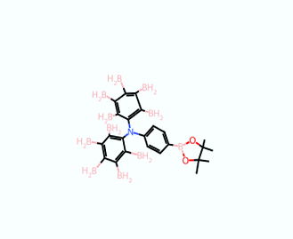 Bc1c(B)c(B)c(N(c2ccc(B3OC(C)(C)C(C)(C)O3)cc2)c2c(B)c(B)c(B)c(B)c2B)c(B)c1B